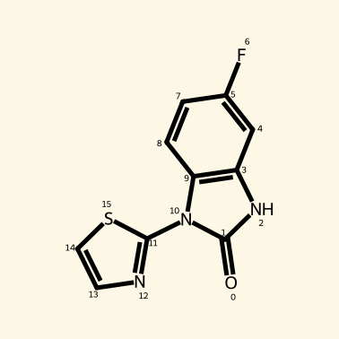 O=c1[nH]c2cc(F)ccc2n1-c1nccs1